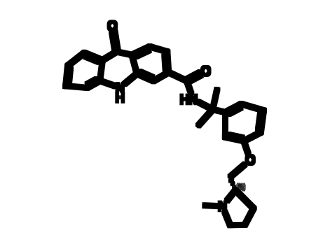 CN1CCC[C@H]1COc1cccc(C(C)(C)NC(=O)c2ccc3c(=O)c4ccccc4[nH]c3c2)c1